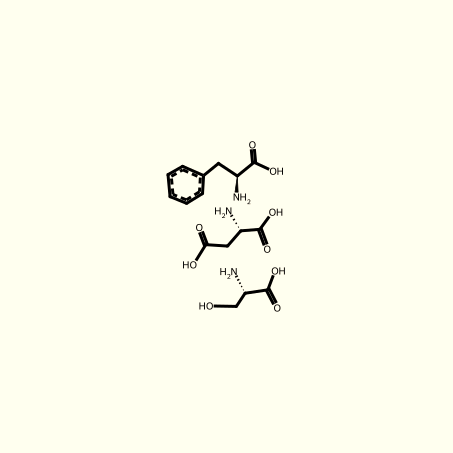 N[C@@H](CC(=O)O)C(=O)O.N[C@@H](CO)C(=O)O.N[C@@H](Cc1ccccc1)C(=O)O